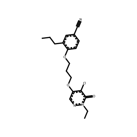 CCCc1cc(C#N)ccc1OCCCOc1cnn(CC)c(=O)c1Cl